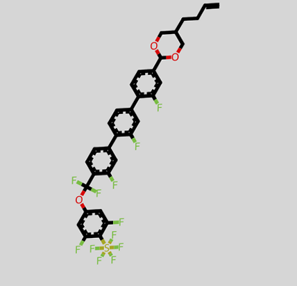 C=CCCC1COC(c2ccc(-c3ccc(-c4ccc(C(F)(F)Oc5cc(F)c(S(F)(F)(F)(F)F)c(F)c5)c(F)c4)c(F)c3)c(F)c2)OC1